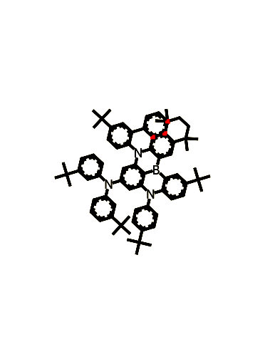 CC(C)(C)c1ccc(N2c3ccc(C(C)(C)C)cc3B3c4cc5c(cc4N(c4ccc(C(C)(C)C)cc4-c4ccccc4)c4cc(N(c6cccc(C(C)(C)C)c6)c6cccc(C(C)(C)C)c6)cc2c43)C(C)(C)CCC5(C)C)cc1